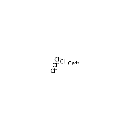 [Ce+4].[Cl-].[Cl-].[Cl-].[Cl-]